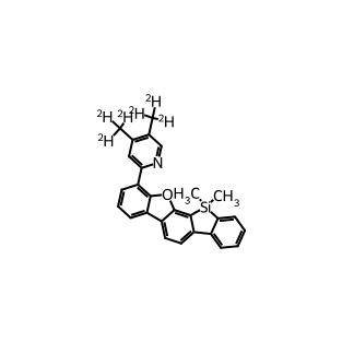 [2H]C([2H])([2H])c1cnc(-c2cccc3c2oc2c4c(ccc23)-c2ccccc2[Si]4(C)C)cc1C([2H])([2H])[2H]